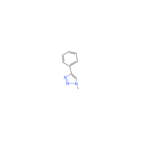 Cn1cc(-c2ccccc2)nn1